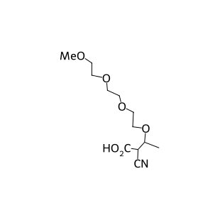 COCCOCCOCCOC(C)C(C#N)C(=O)O